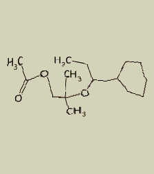 CCC(OC(C)(C)COC(C)=O)C1CCCCC1